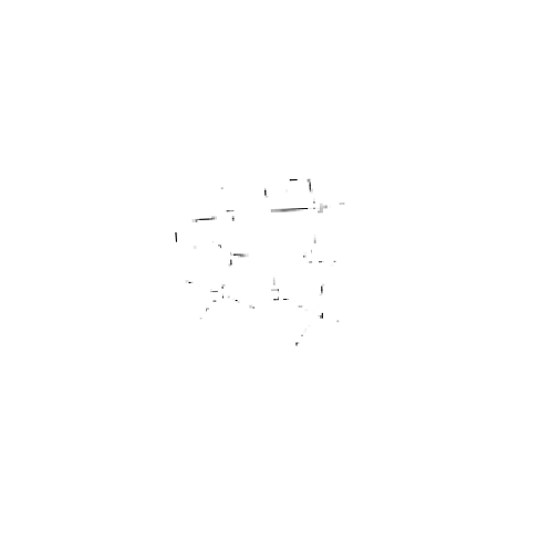 C[Si](C)(C)OC(C(=O)O)(C(C(=O)O)[Si](C)(C)C)C(C(=O)O)([Si](C)(C)C)[Si](C)(C)C